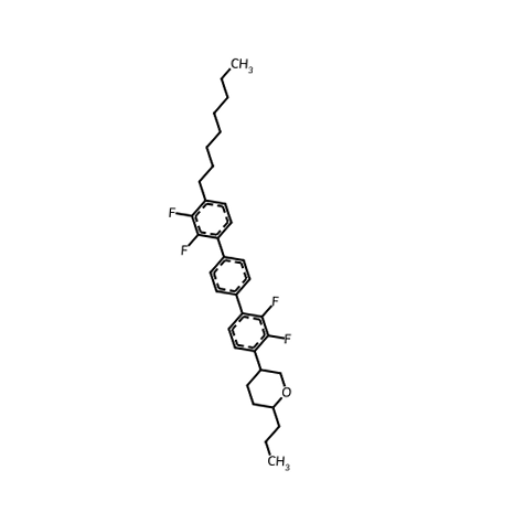 CCCCCCCCc1ccc(-c2ccc(-c3ccc(C4CCC(CCC)OC4)c(F)c3F)cc2)c(F)c1F